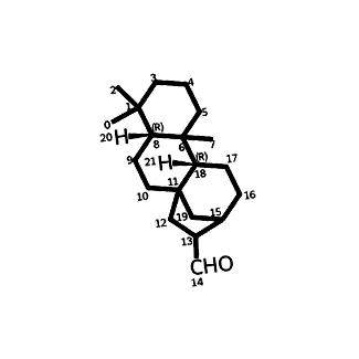 CC1(C)CCCC2(C)[C@@H]1CCC13CC(C=O)C(CC[C@H]12)C3